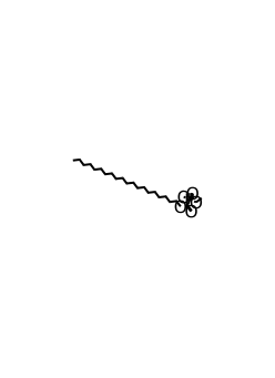 CCCCCCCCCCCCCCCCCCCCOC(=O)P(=O)(OC)OC